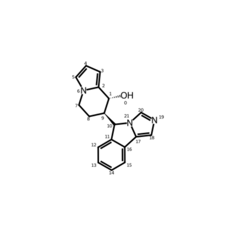 O[C@H]1c2cccn2CC[C@@H]1C1c2ccccc2-c2cncn21